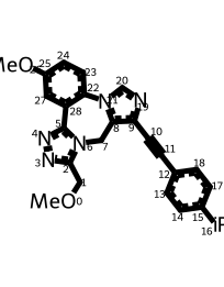 COCc1nnc2n1Cc1c(C#Cc3ccc(C(C)C)cc3)ncn1-c1ccc(OC)cc1-2